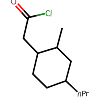 CCCC1CCC(CC(=O)Cl)C(C)C1